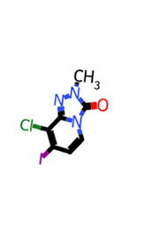 Cn1nc2c(Cl)c(I)ccn2c1=O